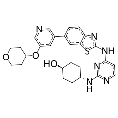 O[C@H]1CC[C@H](Nc2nccc(Nc3nc4ccc(-c5cncc(OC6CCOCC6)c5)cc4s3)n2)CC1